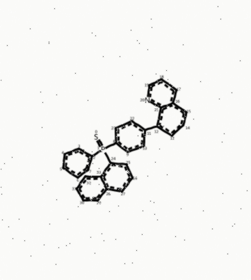 S=P(c1ccccc1)(c1ccc(-c2cccc3cccnc23)cc1)c1cccc2ccccc12